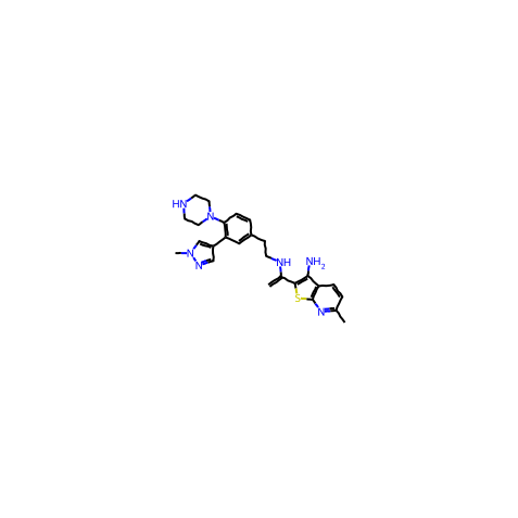 C=C(NCCc1ccc(N2CCNCC2)c(-c2cnn(C)c2)c1)c1sc2nc(C)ccc2c1N